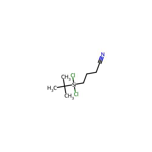 CC(C)(C)[Si](Cl)(Cl)CCCC#N